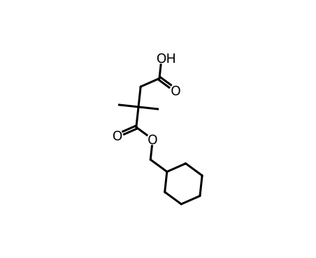 CC(C)(CC(=O)O)C(=O)OCC1CCCCC1